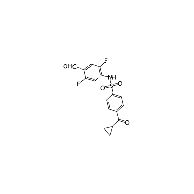 O=Cc1cc(F)c(NS(=O)(=O)c2ccc(C(=O)C3CC3)cc2)cc1F